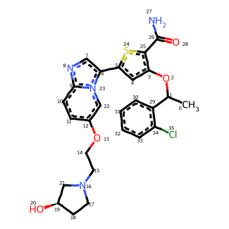 CC(Oc1cc(-c2cnc3ccc(OCCN4CC[C@@H](O)C4)cn23)sc1C(N)=O)c1ccccc1Cl